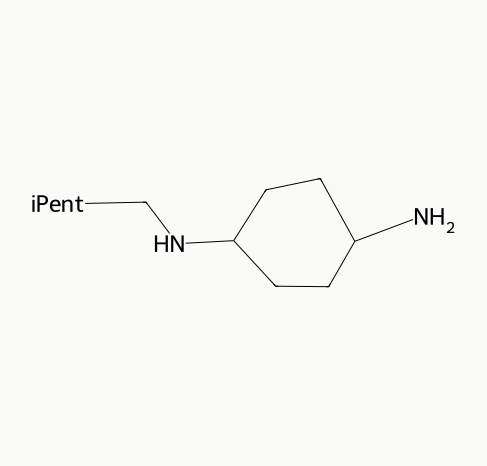 CCCC(C)CNC1CCC(N)CC1